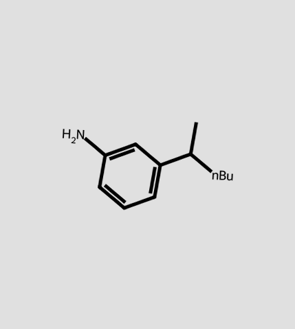 CCCCC(C)c1cccc(N)c1